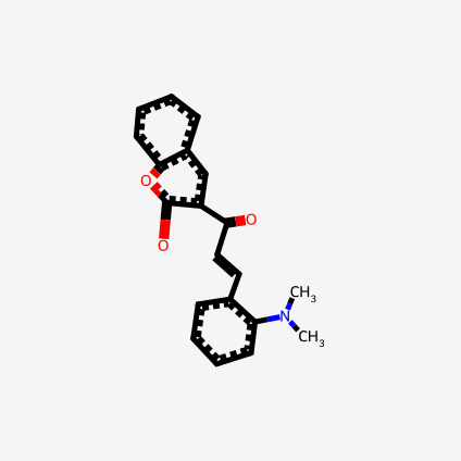 CN(C)c1ccccc1/C=C/C(=O)c1cc2ccccc2oc1=O